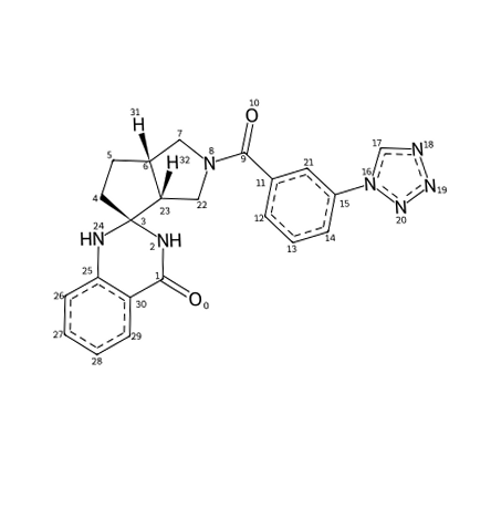 O=C1N[C@]2(CC[C@@H]3CN(C(=O)c4cccc(-n5cnnn5)c4)C[C@@H]32)Nc2ccccc21